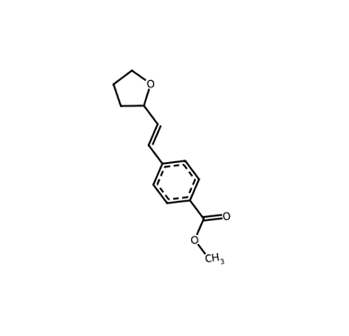 COC(=O)c1ccc(C=CC2CCCO2)cc1